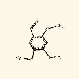 COc1cc(SC)c(OC)cc1C=O